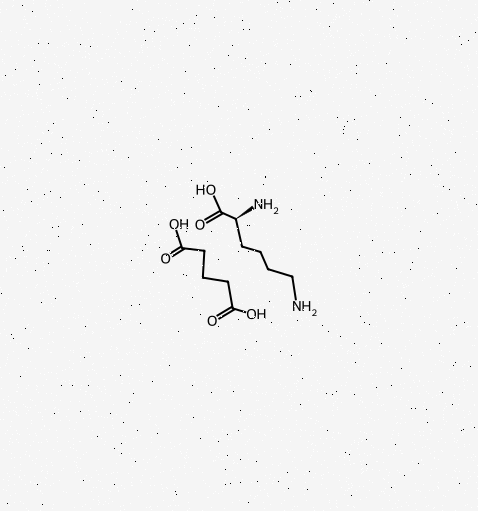 NCCCC[C@H](N)C(=O)O.O=C(O)CCCC(=O)O